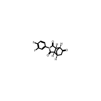 O=C1C[C@H]2CC[C@@H]1[C@H]1C(=O)N(c3ccc(F)c(F)c3)C(=O)[C@@H]21